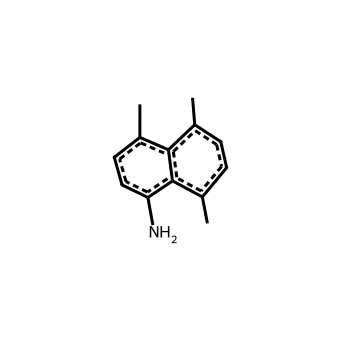 Cc1ccc(C)c2c(N)ccc(C)c12